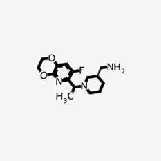 CC(c1nc2c(cc1F)OCCO2)N1CCC[C@H](CN)C1